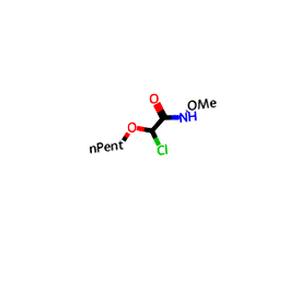 CCCCCOC(Cl)C(=O)NOC